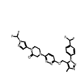 Cc1nnn(-c2ccc(C(F)F)cc2)c1COc1ccc(N2CCN(c3cnn(C(F)F)c3)C(=O)C2)nn1